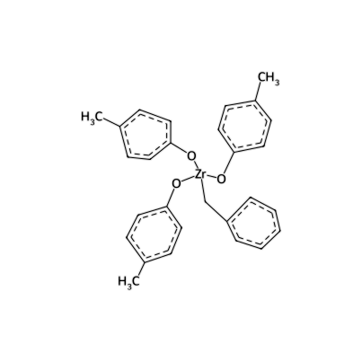 Cc1ccc([O][Zr]([CH2]c2ccccc2)([O]c2ccc(C)cc2)[O]c2ccc(C)cc2)cc1